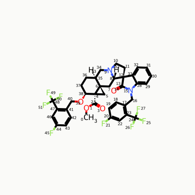 COC(=O)[C@@]12C[C@@]13C[C@@H]1N(CC[C@@]14C(=O)N(Cc1ccc(F)cc1C(F)(F)F)c1ccccc14)C[C@@H]3CC[C@@H]2OCc1ccc(F)cc1C(F)(F)F